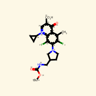 Cc1c(F)c(N2CCC(CNC(=O)OC(C)(C)C)C2)c(F)c2c1c(=O)c(C(=O)O)cn2C1CC1